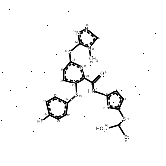 CCC(Sc1ccc(NC(=O)c2nc(Sc3nncn3C)ccc2Sc2ccc(F)cc2)s1)C(=O)O